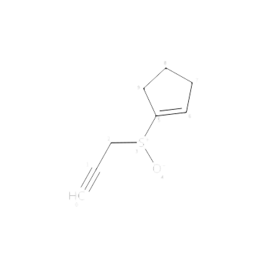 C#CC[S+]([O-])C1=CCCC1